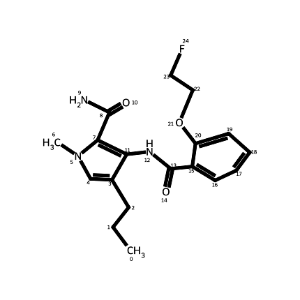 CCCc1cn(C)c(C(N)=O)c1NC(=O)c1ccccc1OCCF